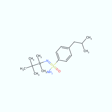 CC(C)Cc1ccc(S(N)(=O)=N[Si](C)(C)C(C)(C)C)cc1